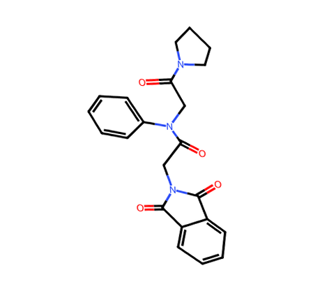 O=C(CN(C(=O)CN1C(=O)c2ccccc2C1=O)c1ccccc1)N1CCCC1